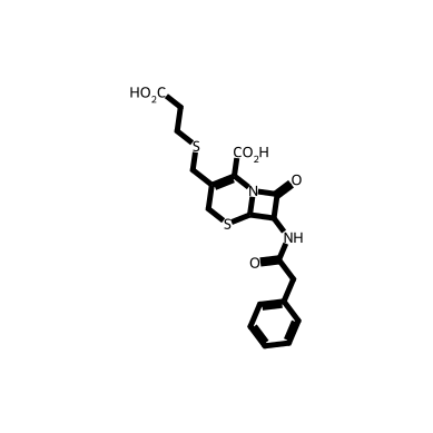 O=C(O)CCSCC1=C(C(=O)O)N2C(=O)C(NC(=O)Cc3ccccc3)C2SC1